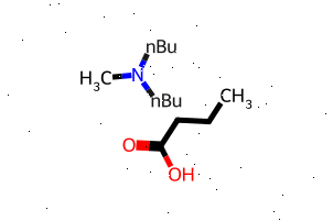 CCCC(=O)O.CCCCN(C)CCCC